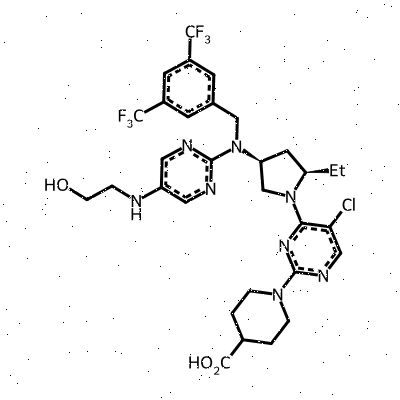 CC[C@@H]1C[C@H](N(Cc2cc(C(F)(F)F)cc(C(F)(F)F)c2)c2ncc(NCCO)cn2)CN1c1nc(N2CCC(C(=O)O)CC2)ncc1Cl